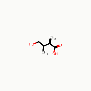 C=C(C(=O)O)C(C)CO